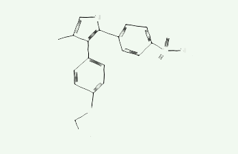 CCOc1ccc(-c2c(C)c[nH]c2-c2ccc(S(N)(=O)=O)cc2)cc1